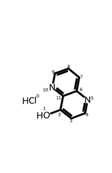 Cl.Oc1ccnc2cccnc12